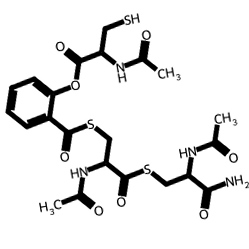 CC(=O)NC(CSC(=O)C(CSC(=O)c1ccccc1OC(=O)C(CS)NC(C)=O)NC(C)=O)C(N)=O